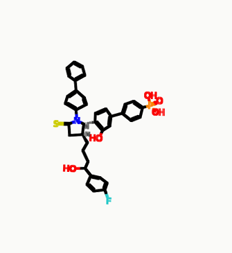 O=P(O)(O)c1ccc(-c2ccc([C@@H]3[C@@H](CCCC(O)c4ccc(F)cc4)CC(=S)N3c3ccc(-c4ccccc4)cc3)c(O)c2)cc1